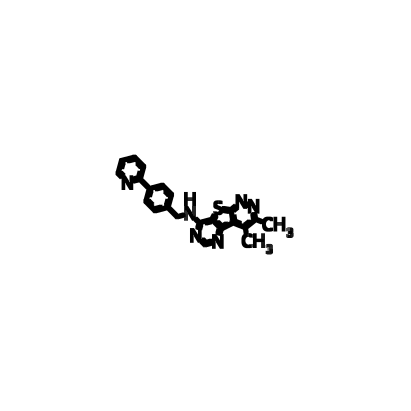 Cc1nnc2sc3c(NCc4ccc(-c5ccccn5)cc4)ncnc3c2c1C